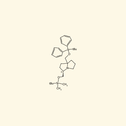 CC(C)(C)[Si](C)(C)OC[C@H]1CCC2(CO[Si](c3ccccc3)(c3ccccc3)C(C)(C)C)CCCN12